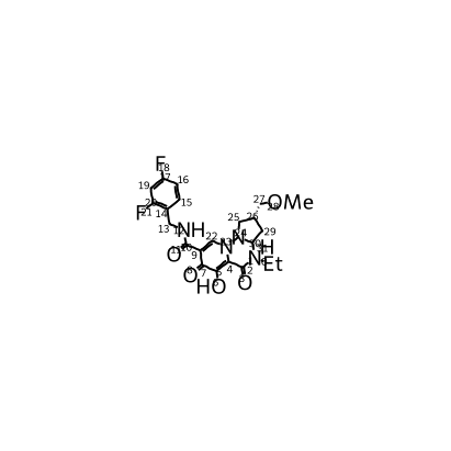 CCN1C(=O)c2c(O)c(=O)c(C(=O)NCc3ccc(F)cc3F)cn2N2C[C@H](COC)C[C@@H]12